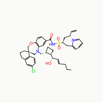 C=CCC[C@@H](Cc1ccccn1)S(=O)(=O)NC(=O)c1ccc2c(c1)N(C[C@@H]1CC[C@H]1[C@@H](O)/C=C/CCC)C[C@@]1(CCCc3cc(Cl)ccc31)CO2